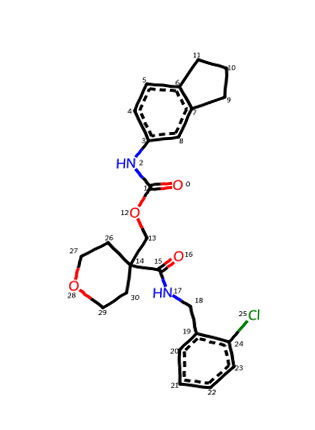 O=C(Nc1ccc2c(c1)CCC2)OCC1(C(=O)NCc2ccccc2Cl)CCOCC1